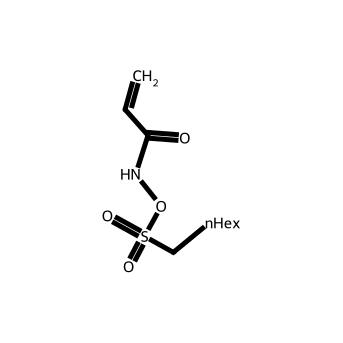 C=CC(=O)NOS(=O)(=O)CCCCCCC